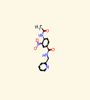 CC(=O)Nc1ccc(C(=O)NCc2ccccn2)cc1[N+](=O)[O-]